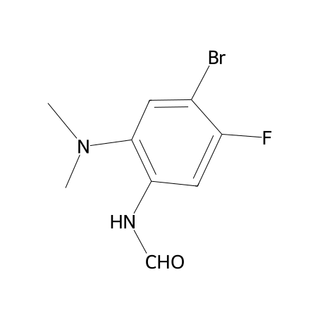 CN(C)c1cc(Br)c(F)cc1NC=O